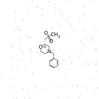 CS(=O)(=O)C[C@@H]1CN(Cc2ccccc2)CCO1